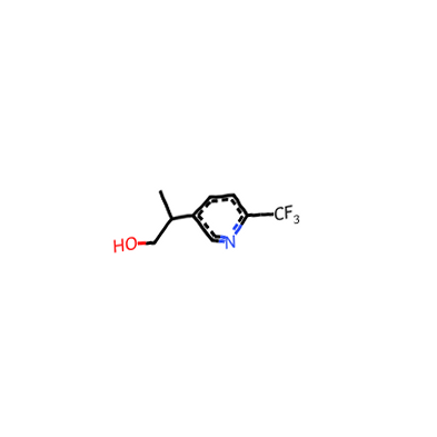 CC(CO)c1ccc(C(F)(F)F)nc1